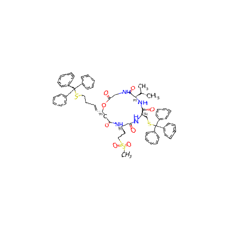 CC(C)[C@H]1NC(=O)[C@@H](CSC(c2ccccc2)(c2ccccc2)c2ccccc2)NC(=O)[C@@H](CCS(C)(=O)=O)NC(=O)C[C@H](C=CCCSC(c2ccccc2)(c2ccccc2)c2ccccc2)OC(=O)CNC1=O